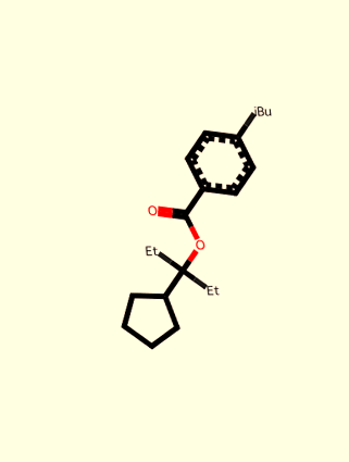 CCC(C)c1ccc(C(=O)OC(CC)(CC)C2CCCC2)cc1